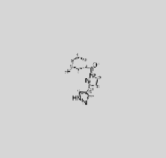 O=C(c1cccc(F)c1)N1CCC(c2cn[nH]c2)=N1